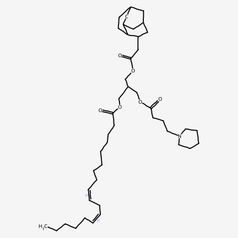 CCCCC/C=C\C/C=C\CCCCCCCC(=O)OCC(COC(=O)CCCN1CCCCC1)COC(=O)CC1CC2CC3CCC1C(C3)C2